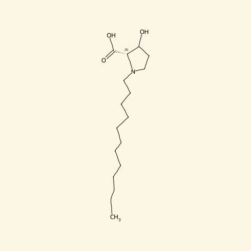 CCCCCCCCCCCCN1CCC(O)[C@H]1C(=O)O